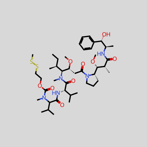 CC[C@H](C)[C@@H]([C@@H](CC(=O)N1CCC[C@H]1[C@H](OC)[C@@H](C)C(=O)N[C@H](C)[C@@H](O)c1ccccc1)OC)N(C)C(=O)[C@@H](NC(=O)C(C(C)C)N(C)C(=O)OCCSSC)C(C)C